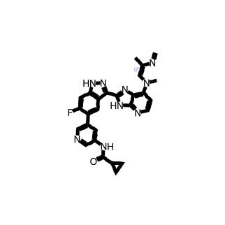 C=N/C(C)=C\N(C)c1ccnc2[nH]c(-c3n[nH]c4cc(F)c(-c5cncc(NC(=O)C6CC6)c5)cc34)nc12